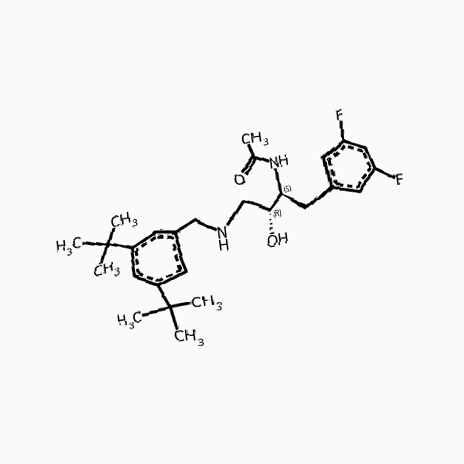 CC(=O)N[C@@H](Cc1cc(F)cc(F)c1)[C@H](O)CNCc1cc(C(C)(C)C)cc(C(C)(C)C)c1